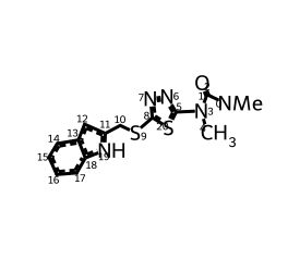 CNC(=O)N(C)c1nnc(SCc2cc3ccccc3[nH]2)s1